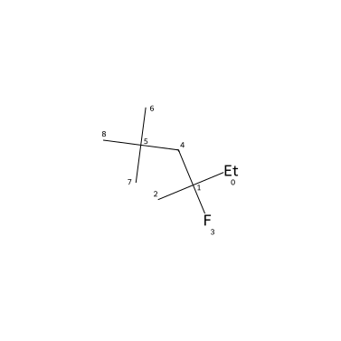 CCC(C)(F)CC(C)(C)C